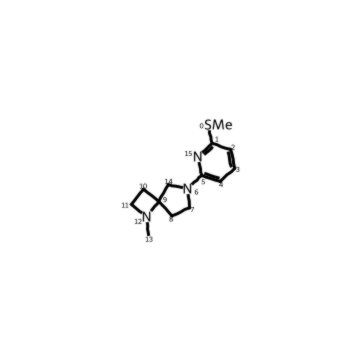 CSc1cccc(N2CCC3(CCN3C)C2)n1